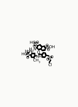 Cc1cc(S(=O)(=O)O)c(N)cc1NC(=O)c1ccc(CS(=O)(=O)CCCl)cc1.Nc1cc2ccc(S(=O)(=O)O)cc2cc1S(=O)(=O)O